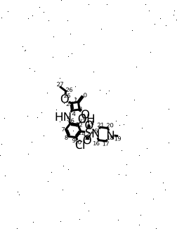 C=C1C(=O)C(Nc2ccc(Cl)c(S(=O)(=O)N3CCN(C)CC3)c2O)=C1OCC